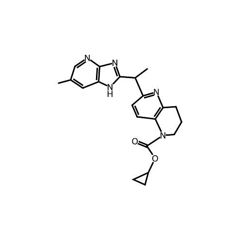 Cc1cnc2nc(C(C)c3ccc4c(n3)CCCN4C(=O)OC3CC3)[nH]c2c1